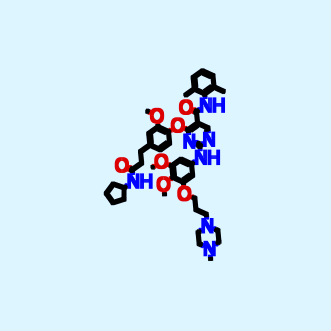 COc1cc(CCC(=O)NC2CCCC2)ccc1Oc1nc(Nc2cc(OC)c(OC)c(OCCCN3CCN(C)CC3)c2)ncc1C(=O)Nc1c(C)cccc1C